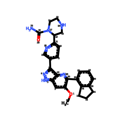 COc1cc2[nH]nc(-c3ccc(C4CNCCN4C(N)=O)nc3)c2nc1-c1cccc2c1CCC2